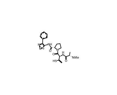 C=C(S)[C@H](NC(=O)[C@H](C)NC)C(=O)N1CCC[C@H]1C(=O)Nc1snnc1-c1ccccc1